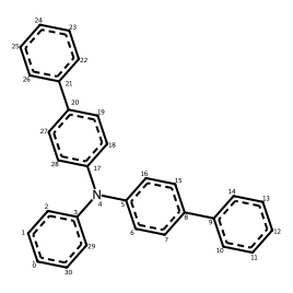 [c]1ccc(N(c2ccc(-c3ccccc3)cc2)c2ccc(-c3ccccc3)cc2)cc1